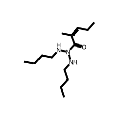 CCC=C(C)C(=O)N(NCCCC)NCCCC